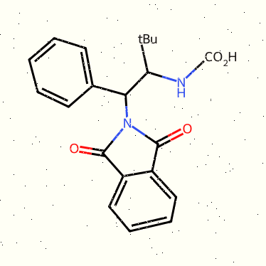 CC(C)(C)C(NC(=O)O)C(c1ccccc1)N1C(=O)c2ccccc2C1=O